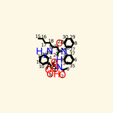 CC(=O)NO[As](=O)(OO)c1ccccc1.CCCCC(N)C(=O)C(C)N(c1ccccc1)c1ccccc1